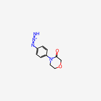 N=[N+]=Nc1ccc(N2CCOCC2=O)cc1